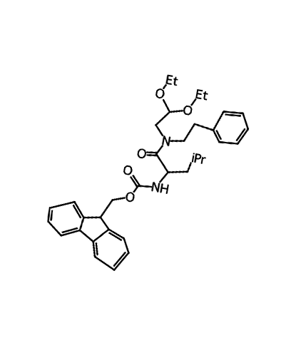 CCOC(CN(CCc1ccccc1)C(=O)C(CC(C)C)NC(=O)OCC1c2ccccc2-c2ccccc21)OCC